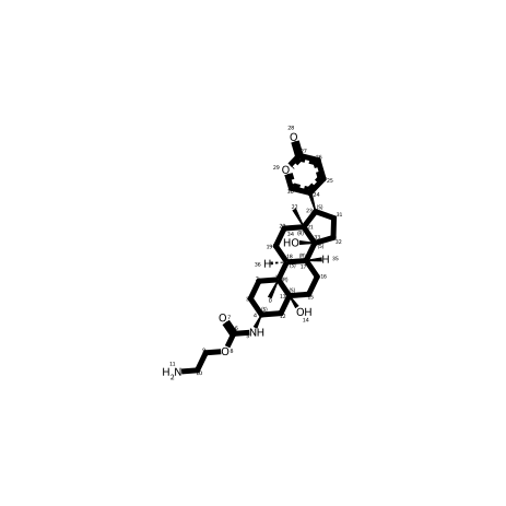 C[C@]12CC[C@H](NC(=O)OCCN)C[C@@]1(O)CC[C@@H]1[C@@H]2CC[C@]2(C)[C@@H](c3ccc(=O)oc3)CC[C@]12O